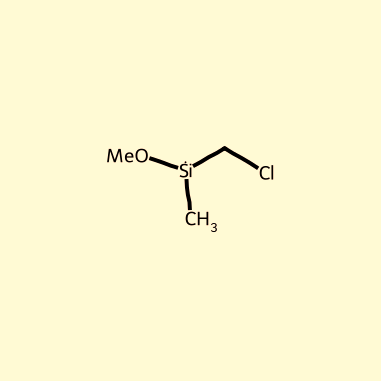 CO[Si](C)CCl